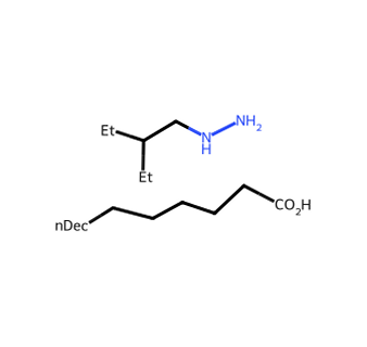 CCC(CC)CNN.CCCCCCCCCCCCCCCC(=O)O